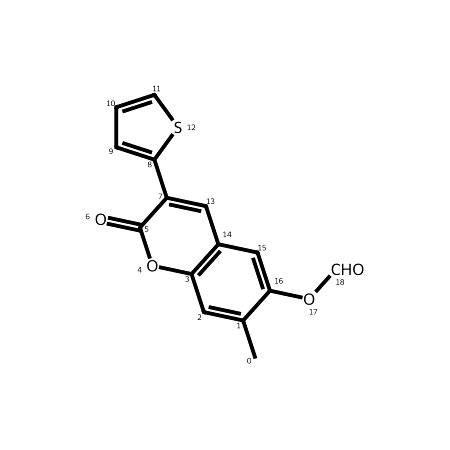 Cc1cc2oc(=O)c(-c3cccs3)cc2cc1OC=O